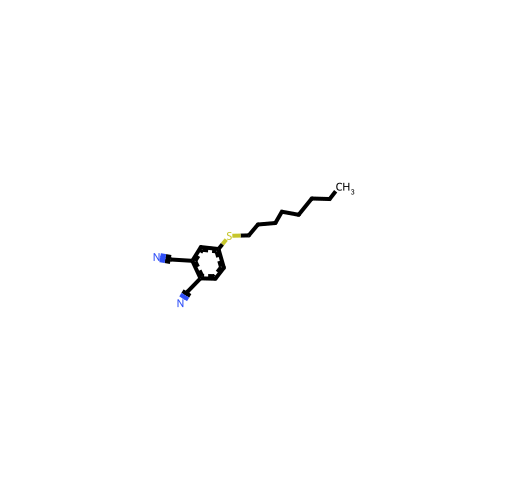 CCCCCCCCSc1ccc(C#N)c(C#N)c1